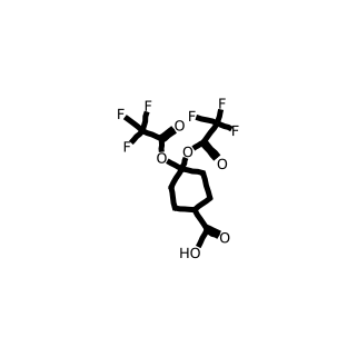 O=C(O)C1CCC(OC(=O)C(F)(F)F)(OC(=O)C(F)(F)F)CC1